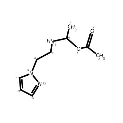 CC(=O)OC(C)NCCn1cccn1